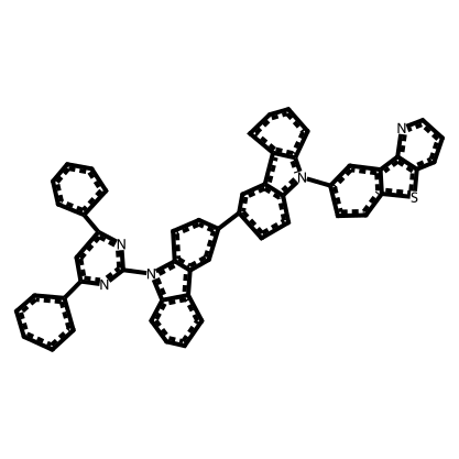 c1ccc(-c2cc(-c3ccccc3)nc(-n3c4ccccc4c4cc(-c5ccc6c(c5)c5ccccc5n6-c5ccc6sc7cccnc7c6c5)ccc43)n2)cc1